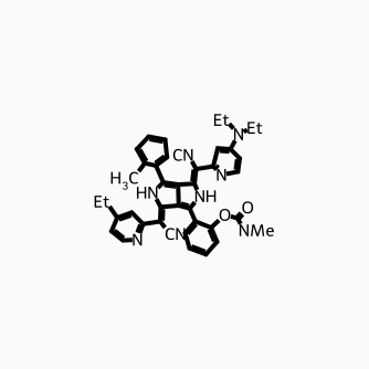 [C-]#[N+]/C(c1cc(N(CC)CC)ccn1)=c1/[nH]c(-c2ccccc2OC(=O)NC)c2/c(=C(\C#N)c3cc(CC)ccn3)[nH]c(-c3ccccc3C)c12